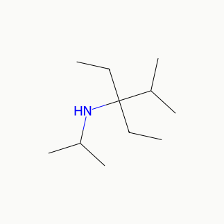 CCC(CC)(NC(C)C)C(C)C